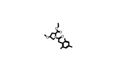 CCOC(=O)C1CC(OC)CN1C(=O)Cc1c(C)cc(C)cc1C